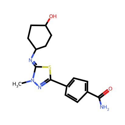 Cn1nc(-c2ccc(C(N)=O)cc2)sc1=NC1CCC(O)CC1